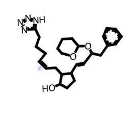 OC1CCC(C=CC(Cc2ccccc2)OC2CCCCO2)C1C/C=C\CCCc1nnn[nH]1